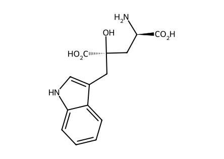 N[C@H](C[C@](O)(Cc1c[nH]c2ccccc12)C(=O)O)C(=O)O